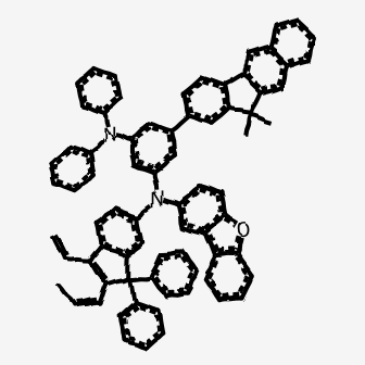 C=CC1=C(/C=C\C)C(c2ccccc2)(c2ccccc2)c2cc(N(c3cc(-c4ccc5c(c4)C(C)(C)c4cc6ccccc6cc4-5)cc(N(c4ccccc4)c4ccccc4)c3)c3ccc4oc5ccccc5c4c3)ccc21